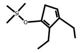 CCC1=CCC(O[Si](C)(C)C)=C1CC